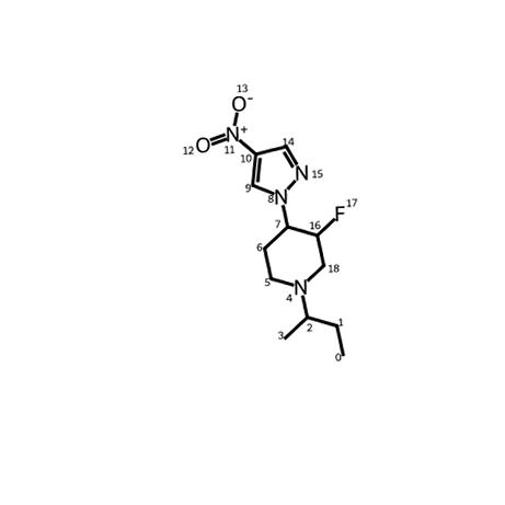 CCC(C)N1CCC(n2cc([N+](=O)[O-])cn2)C(F)C1